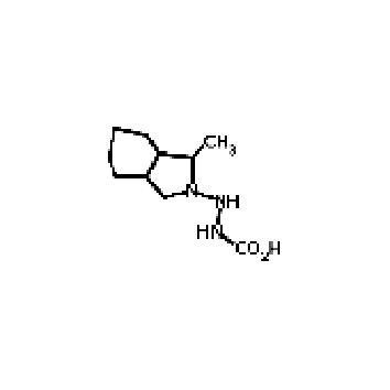 CC1C2CCCCC2CN1NNC(=O)O